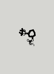 CC1(C)OB(C2=CCCCC(OC(N)=O)C2)OC1(C)C